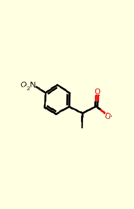 CC(C([O])=O)c1ccc([N+](=O)[O-])cc1